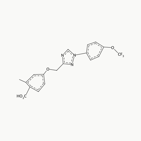 Cc1cc(OCc2ncn(-c3ccc(OC(F)(F)F)cc3)n2)ccc1C(=O)O